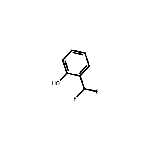 Oc1ccccc1C(F)F